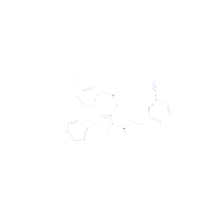 N#Cc1ccc(F)c(CNC(=O)c2nn(-c3ccc(Cl)cc3Cl)c(-c3ccc(Cl)cc3)c2CC(=O)O)c1